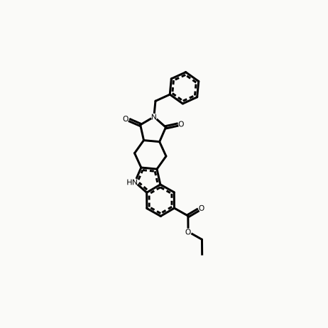 CCOC(=O)c1ccc2[nH]c3c(c2c1)CC1C(=O)N(Cc2ccccc2)C(=O)C1C3